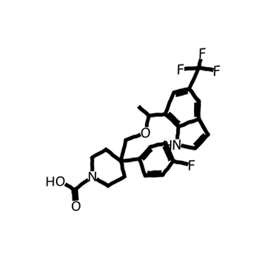 CC(OCC1(c2ccc(F)cc2)CCN(C(=O)O)CC1)c1cc(C(F)(F)F)cc2cc[nH]c12